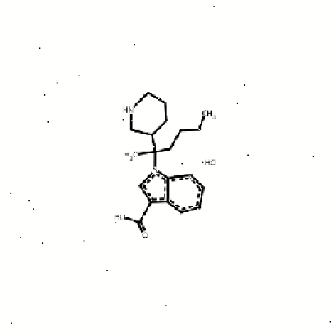 CCCCC(C)(C1CCCNC1)n1cc(C(=O)O)c2ccccc21.Cl